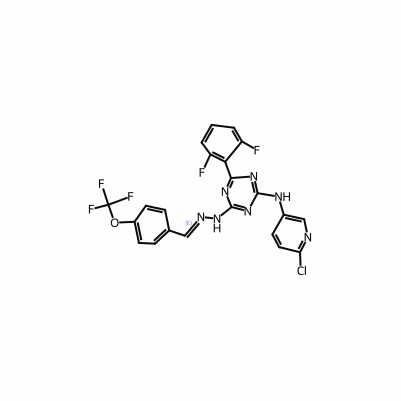 Fc1cccc(F)c1-c1nc(N/N=C/c2ccc(OC(F)(F)F)cc2)nc(Nc2ccc(Cl)nc2)n1